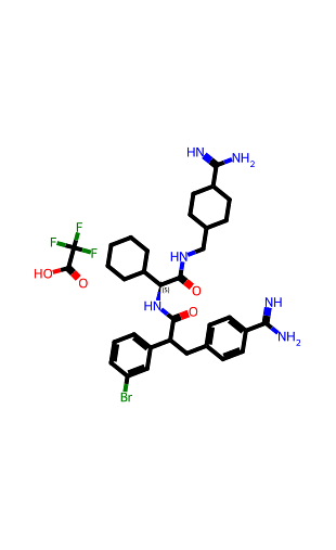 N=C(N)c1ccc(CC(C(=O)N[C@H](C(=O)NCC2CCC(C(=N)N)CC2)C2CCCCC2)c2cccc(Br)c2)cc1.O=C(O)C(F)(F)F